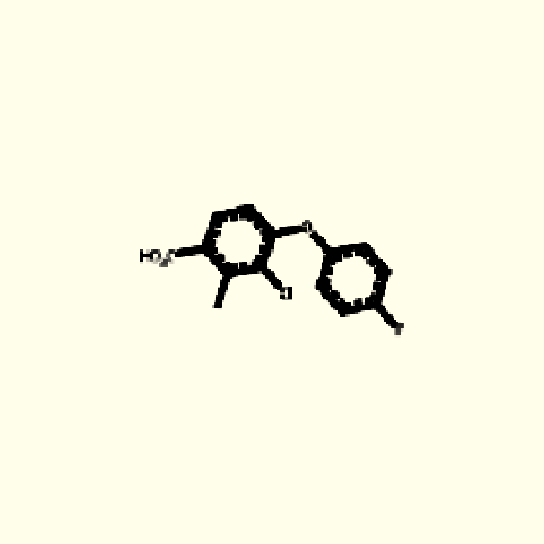 Cc1c(C(=O)O)ccc(Oc2ccc(F)cc2)c1Cl